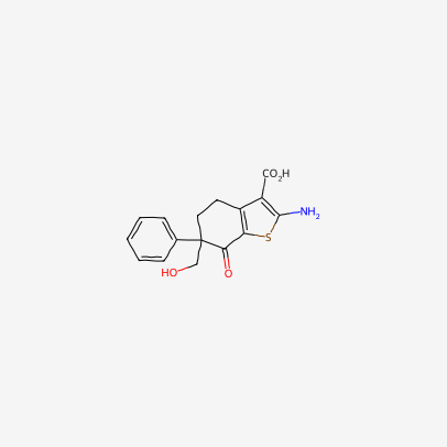 Nc1sc2c(c1C(=O)O)CCC(CO)(c1ccccc1)C2=O